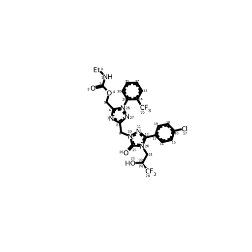 CCNC(=O)OCc1nc(Cn2nc(-c3ccc(Cl)cc3)n(C[C@H](O)C(F)(F)F)c2=O)nn1-c1ccccc1C(F)(F)F